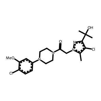 COc1cc(N2CCN(C(=O)Cn3nc(C(C)(C)O)c(Cl)c3C)CC2)ccc1Cl